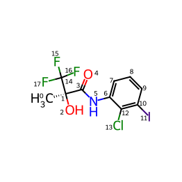 C[C@@](O)(C(=O)Nc1cccc(I)c1Cl)C(F)(F)F